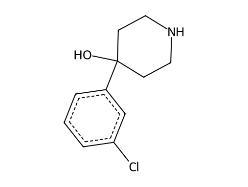 OC1(c2cccc(Cl)c2)CCNCC1